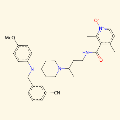 COc1ccc(N(Cc2cccc(C#N)c2)C2CCN(C(C)CCNC(=O)c3c(C)cc[n+]([O-])c3C)CC2)cc1